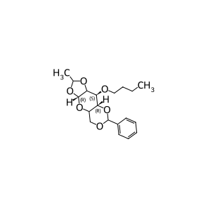 CCCCO[C@@H]1C2OC(C)O[C@H]2OC2COC(c3ccccc3)O[C@H]21